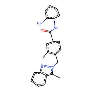 Cc1cc(C(=O)Nc2ccccc2N)ccc1Cn1nc2ccccc2c1C